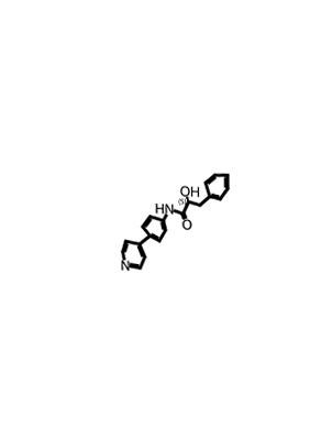 O=C(Nc1ccc(-c2ccncc2)cc1)[C@@H](O)Cc1ccccc1